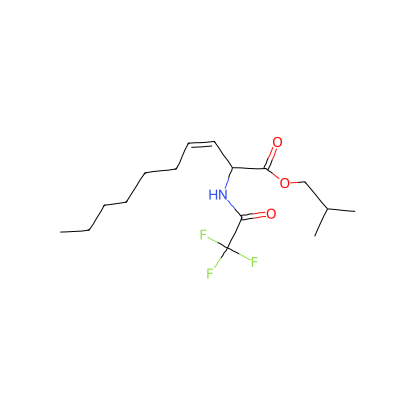 CCCCCC/C=C\C(NC(=O)C(F)(F)F)C(=O)OCC(C)C